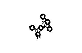 c1ccc(-n2c3ccncc3c3cc(-n4c5ccccc5c5ccc6c7ccccc7sc6c54)ccc32)cc1